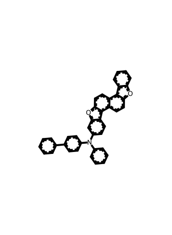 c1ccc(-c2ccc(N(c3ccccc3)c3ccc4c(c3)oc3ccc5c(ccc6oc7ccccc7c65)c34)cc2)cc1